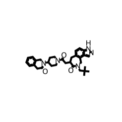 CC(C)(C)CN1Cc2c(ccc3[nH]ncc23)CC(CC(=O)N2CCC(N3Cc4ccccc4CC3=O)CC2)C1=O